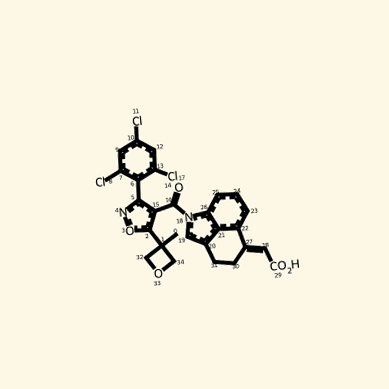 CC1(c2onc(-c3c(Cl)cc(Cl)cc3Cl)c2C(=O)n2cc3c4c(cccc42)/C(=C/C(=O)O)CC3)COC1